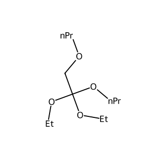 CCCOCC(OCC)(OCC)OCCC